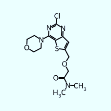 CN(C)C(=O)COCc1cc2nc(Cl)nc(N3CCOCC3)c2s1